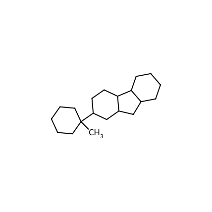 CC1(C2CCC3C(CC4CCCCC43)C2)CCCCC1